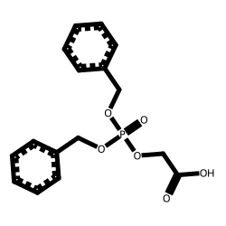 O=C(O)COP(=O)(OCc1ccccc1)OCc1ccccc1